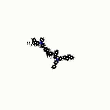 CC1(C)c2ccccc2-c2cc(N(c3ccccc3)c3ccc(-c4ccc5c(ccc6c7cc(CC8(C)c9ccccc9-c9cc(N(c%10ccc(-c%11ccccc%11)cc%10)c%10ccc(-c%11ccc%12c(ccc%13c%14ccccc%14ccc%12%13)c%11)cc%10)ccc98)ccc7ccc56)c4)cc3)ccc21